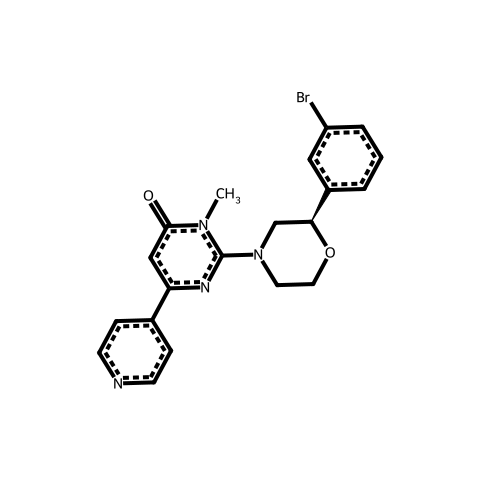 Cn1c(N2CCO[C@H](c3cccc(Br)c3)C2)nc(-c2ccncc2)cc1=O